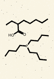 CCCCCC(CC)C(=O)O.CCCCP(CCCC)CCCC